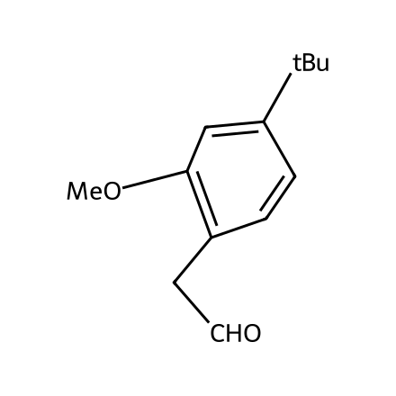 COc1cc(C(C)(C)C)ccc1CC=O